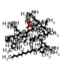 CCCCCCCCCCCC(=O)N[C@H](CC(C)C)C(=O)N[C@@H](CCCNC(=N)N)C(=O)N[C@@H](Cc1c[nH]cn1)C(=O)N[C@H](CC(C)C)C(=O)N[C@H](CC(C)C)C(=O)N[C@@H](CCCNC(=N)N)C(=O)N[C@@H](Cc1c[nH]cn1)C(=O)N[C@H](CC(C)C)C(=O)N[C@H](CC(C)C)C(=O)N[C@@H](CCCNC(=N)N)C(=O)N[C@@H](Cc1c[nH]cn1)C(=O)N[C@H](CC(C)C)C(N)=O